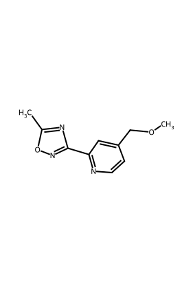 COCc1ccnc(-c2noc(C)n2)c1